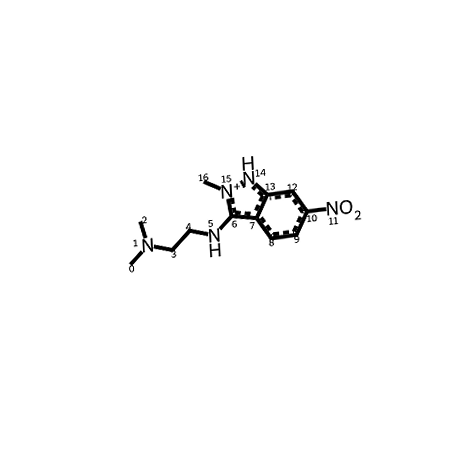 CN(C)CCNc1c2ccc([N+](=O)[O-])cc2[nH][n+]1C